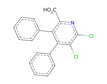 O=C(O)c1nc(Cl)c(Cl)c(-c2ccccc2)c1-c1ccccc1